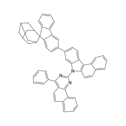 c1ccc(-c2nc(-n3c4cc(-c5ccc6c(c5)-c5ccccc5C65C6CC7CC(C6)CC5C7)ccc4c4c5ccccc5ccc43)nc3c2ccc2ccccc23)cc1